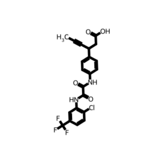 CC#CC(CC(=O)O)c1ccc(NC(=O)C(=O)Nc2cc(C(F)(F)F)ccc2Cl)cc1